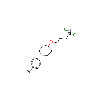 CCCc1ccc([C@H]2CC[C@H](OCCC[SiH](Cl)Cl)CC2)cc1